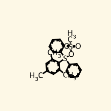 Cc1cc(C)c(S(OS(C)(=O)=O)(c2ccccc2)c2ccccc2)c(C)c1